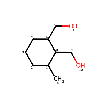 CC1CCCC(CO)C1CO